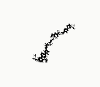 CC[C@@H]1CN(c2ccc(CCNC(=O)c3cnc4c(ccn4CCCCNC(=O)C#Cc4csc(-c5ccc6c7cc(CNC)ccc7n(CC)c6c5)c4)c3)cc2)CCN1